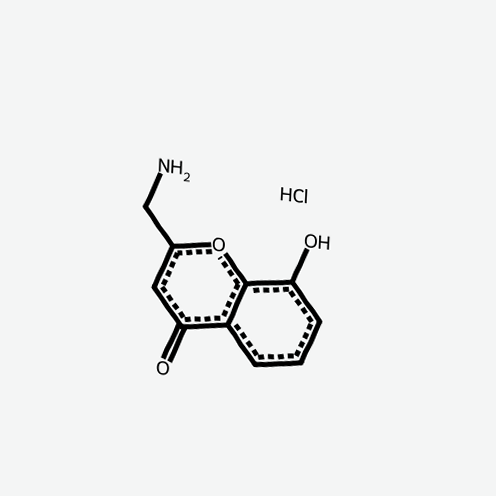 Cl.NCc1cc(=O)c2cccc(O)c2o1